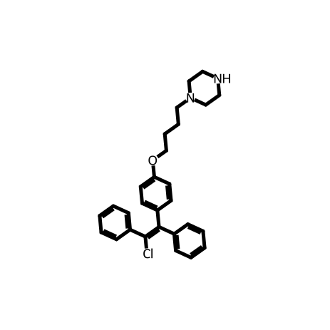 ClC(=C(c1ccccc1)c1ccc(OCCCCN2CCNCC2)cc1)c1ccccc1